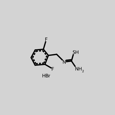 Br.NC(S)=NCc1c(F)cccc1F